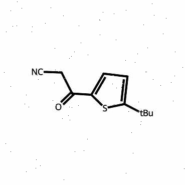 CC(C)(C)c1ccc(C(=O)CC#N)s1